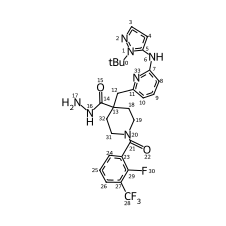 CC(C)(C)n1nccc1Nc1cccc(CC2(C(=O)NN)CCN(C(=O)c3cccc(C(F)(F)F)c3F)CC2)n1